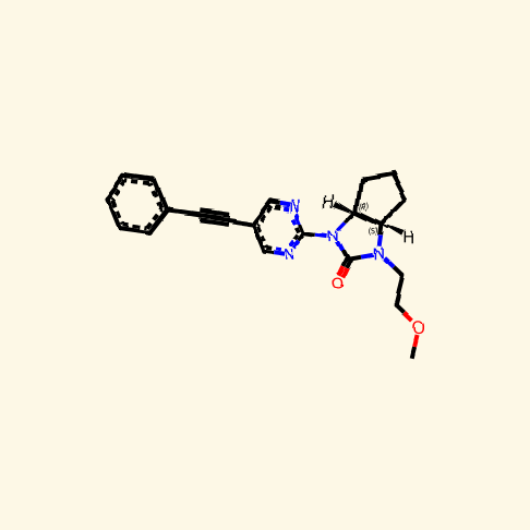 COCCN1C(=O)N(c2ncc(C#Cc3ccccc3)cn2)[C@@H]2CCC[C@@H]21